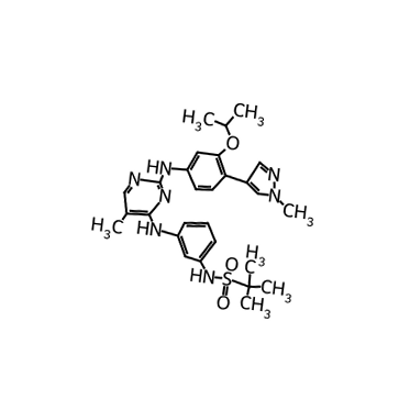 Cc1cnc(Nc2ccc(-c3cnn(C)c3)c(OC(C)C)c2)nc1Nc1cccc(NS(=O)(=O)C(C)(C)C)c1